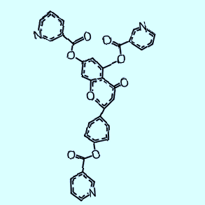 O=C(Oc1ccc(-c2cc(=O)c3c(OC(=O)c4cccnc4)cc(OC(=O)c4cccnc4)cc3o2)cc1)c1cccnc1